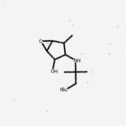 CC1C(NC(C)(C)CC(C)(C)C)C(O)C2OC12